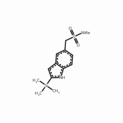 CNS(=O)(=O)Cc1ccc2[nH]c([Si](C)(C)C)cc2c1